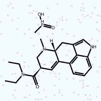 CCN(CC)C(=O)[C@@H]1C=C2c3cccc4[nH]cc(c34)C[C@H]2N(C)C1.C[PH](=O)O